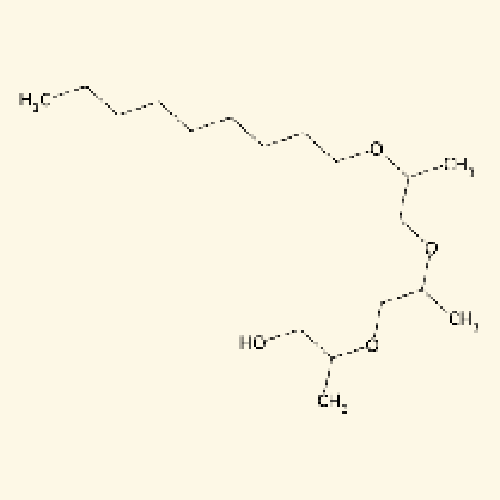 CCCCCCCCCOC(C)COC(C)COC(C)CO